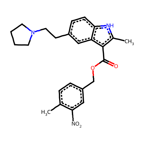 Cc1ccc(COC(=O)c2c(C)[nH]c3ccc(CCN4CCCC4)cc23)cc1[N+](=O)[O-]